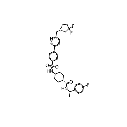 C[C@@H](NC(=O)[C@H]1CC[C@H](NS(=O)(=O)c2ccc(-c3ccc(CN4CCC(F)(F)C4)nc3)cc2)CC1)c1ccc(F)cc1